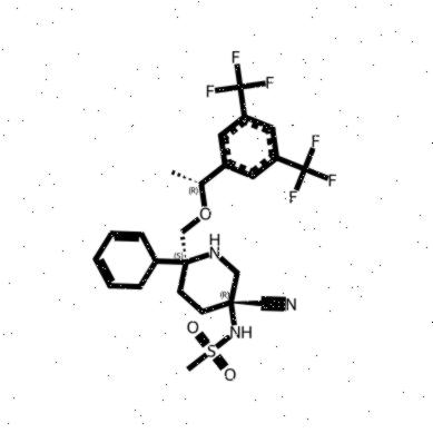 C[C@@H](OC[C@@]1(C2C=CC=CC2)CC[C@@](C#N)(NS(C)(=O)=O)CN1)c1cc(C(F)(F)F)cc(C(F)(F)F)c1